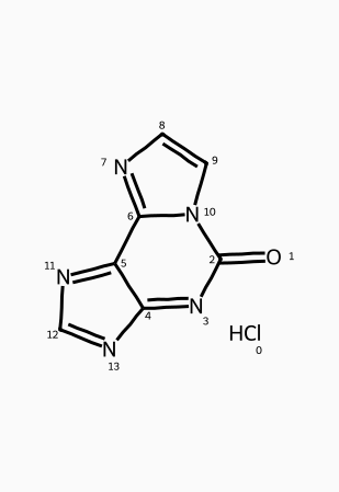 Cl.O=c1nc2c(c3nccn13)=NC=N2